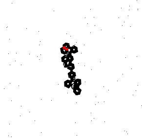 C[Si]1(C)c2cc(-c3ccc(N(c4ccccc4)c4cccc5c4oc4ccccc45)cc3)ccc2-c2ccc(N(c3ccccc3)c3ccccc3-c3ccccc3)c3cccc1c23